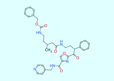 CC(CCNC(=O)OCc1ccccc1)CC(=O)NCCC(C(=O)c1nc(C(=O)NCc2ccncc2)co1)c1ccccc1